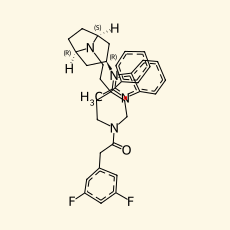 Cc1nc2ccccc2n1[C@H]1C[C@H]2CC[C@@H](C1)N2CCC1(c2ccccc2)CCN(C(=O)Cc2cc(F)cc(F)c2)CC1